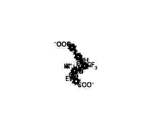 CCN([C@H]1CC[C@H](C(=O)[O-])CC1)S(=O)(=O)c1cccc(C(=O)Nc2ccc(C(F)(F)F)cc2C(=O)Nc2ccc(CCc3ccc(C(=O)[O-])cc3)cc2)c1.[K+].[K+]